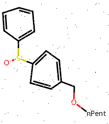 CCCCCOCc1ccc([S+]([O-])c2ccccc2)cc1